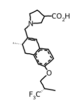 C[C@H]1Cc2cc(OC[C@H](C)C(F)(F)F)ccc2C=C1CN1CCC(C(=O)O)C1